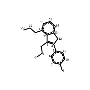 CCCC1=C(c2ccc(C)cc2)[CH]c2cccc(CCC)c21